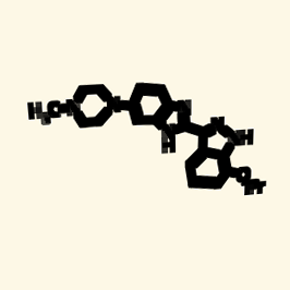 CC(C)Oc1cccc2c(-c3nc4ccc(N5CCN(C)CC5)cc4[nH]3)n[nH]c12